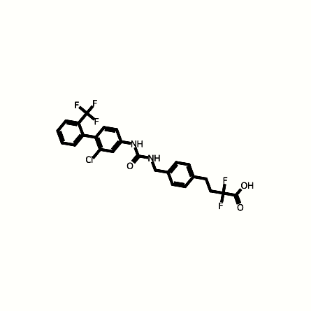 O=C(NCc1ccc(CCC(F)(F)C(=O)O)cc1)Nc1ccc(-c2ccccc2C(F)(F)F)c(Cl)c1